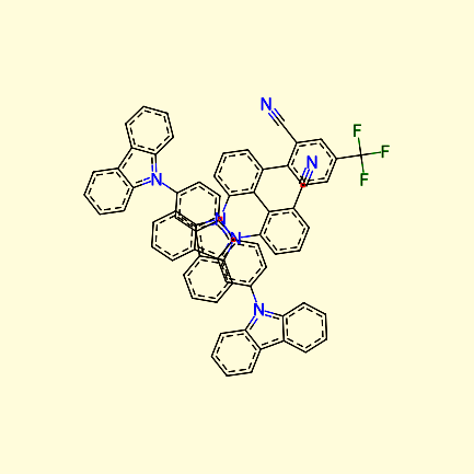 N#Cc1cc(C(F)(F)F)ccc1-c1cccc(-n2c3ccccc3c3cc(-n4c5ccccc5c5ccccc54)ccc32)c1-c1c(C#N)cccc1-n1c2ccccc2c2cc(-n3c4ccccc4c4ccccc43)ccc21